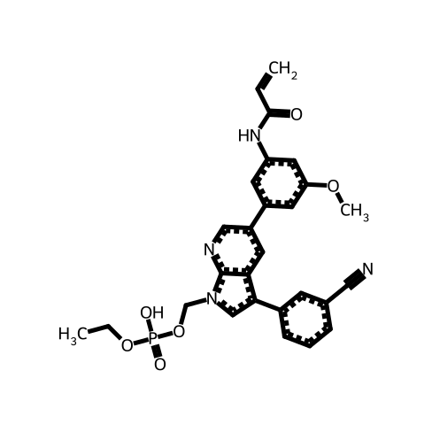 C=CC(=O)Nc1cc(OC)cc(-c2cnc3c(c2)c(-c2cccc(C#N)c2)cn3COP(=O)(O)OCC)c1